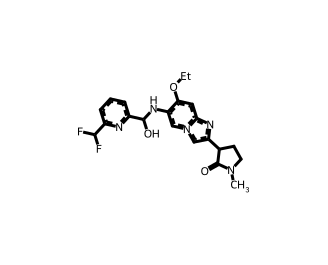 CCOc1cc2nc(C3CCN(C)C3=O)cn2cc1NC(O)c1cccc(C(F)F)n1